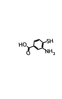 Nc1cc(C(=O)O)ccc1S